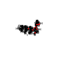 CC(=O)Sc1c(Cl)cc(C(C)=O)cc1C(=O)N(CC(=O)O)C1CCC1.CC(=O)Sc1cc(Cl)c(S(N)(=O)=O)cc1C(=O)N(CC(=O)O)C1CCCC1.CC(=O)Sc1cc(N(C)C)ccc1C(=O)N(CC(=O)O)C1CCCC1.CC(=O)Sc1ccc(C(=O)O)cc1C(=O)N(CC(=O)O)C1CCCC1.O=C(O)CN(C(=O)c1c(O)ccc(Cl)c1S)C1CCCC1